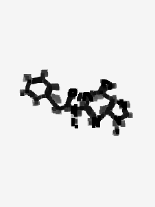 Cn1cnc2c(=O)[nH]c(NC(=O)Cc3ccccc3)nc21